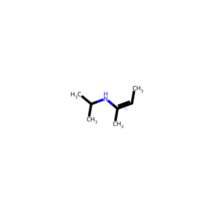 C/C=C(/C)NC(C)C